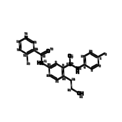 Cc1ccc(N[S+]([O-])c2cc(NC(=O)c3cnccc3C)ccc2CCO)cc1